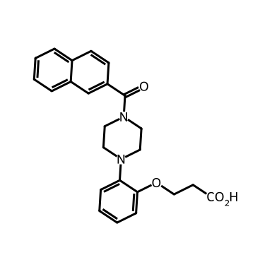 O=C(O)CCOc1ccccc1N1CCN(C(=O)c2ccc3ccccc3c2)CC1